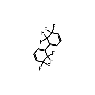 FC1(F)C=CC=C(C2=CC=CC(F)(F)C2(F)F)C1(F)F